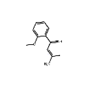 COc1ccccc1C(=N)/C=C(\C)N